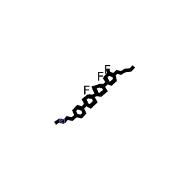 C/C=C/CCC1CC=C(c2ccc(-c3ccc(-c4ccc(CCCCC)c(F)c4F)cc3)c(F)c2)CC1